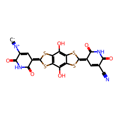 [C-]#[N+]C1=CC(=C2Sc3c(O)c4c(c(O)c3S2)SC(=C2C=C(C#N)C(=O)NC2=O)S4)C(=O)NC1=O